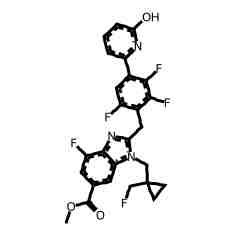 COC(=O)c1cc(F)c2nc(Cc3c(F)cc(-c4cccc(O)n4)c(F)c3F)n(CC3(CF)CC3)c2c1